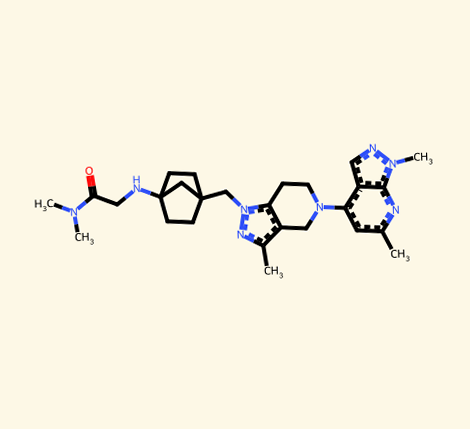 Cc1cc(N2CCc3c(c(C)nn3CC34CCC(NCC(=O)N(C)C)(CC3)C4)C2)c2cnn(C)c2n1